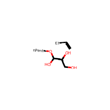 C=CCC.CCCCCOC(O)C(O)CO